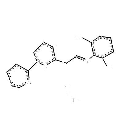 CC(C)c1cccc(C(C)C)c1N=CCc1cccc(-c2ccccn2)n1.[Cl-].[Cl-].[Fe+2]